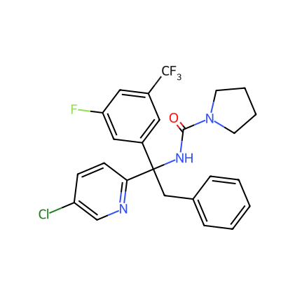 O=C(NC(Cc1ccccc1)(c1cc(F)cc(C(F)(F)F)c1)c1ccc(Cl)cn1)N1CCCC1